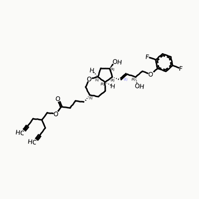 C#CCC(CC#C)COC(=O)CCC[C@H]1CC[C@@H]2[C@@H](/C=C/[C@@H](O)COc3cc(F)ccc3F)[C@H](O)C[C@@H]2OC1